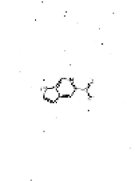 O=[N+]([O-])c1cc2cc[nH]c2cn1